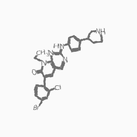 CCn1c(=O)c(-c2ccc(Br)cc2Cl)cc2cnc(Nc3ccc(C4CCCNC4)cc3)nc21